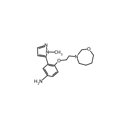 Cn1nccc1-c1cc(N)ccc1OCCN1CCCCOC1